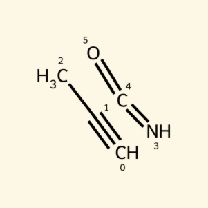 C#CC.N=C=O